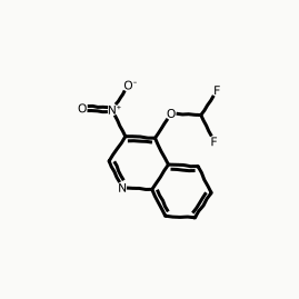 O=[N+]([O-])c1cnc2ccccc2c1OC(F)F